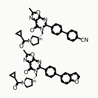 Cc1nc2c(=O)n(C[C@@H]3CCN(C(=O)C4CC4)C3)c(-c3ccc(-c4ccc(C#N)cc4)cc3)nc2o1.Cc1nc2c(=O)n(C[C@@H]3CCN(C(=O)C4CC4)C3)c(-c3ccc(-c4ccc5occc5c4)cc3)nc2o1